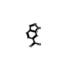 O=C(Cl)c1ccc2cn[nH]c2c1